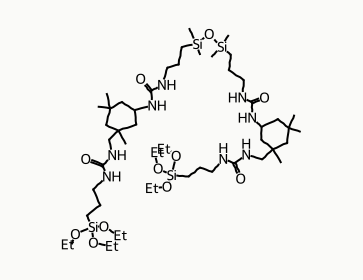 CCO[Si](CCCNC(=O)NCC1(C)CC(NC(=O)NCCC[Si](C)(C)O[Si](C)(C)CCCNC(=O)NC2CC(C)(C)CC(C)(CNC(=O)NCCC[Si](OCC)(OCC)OCC)C2)CC(C)(C)C1)(OCC)OCC